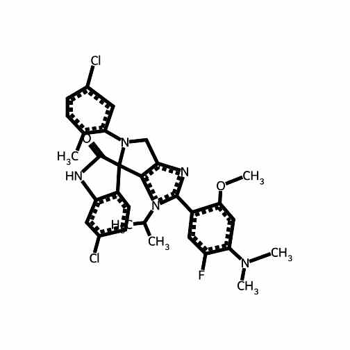 COc1cc(N(C)C)c(F)cc1-c1nc2c(n1C(C)C)C1(C(=O)Nc3cc(Cl)ccc31)N(c1cc(Cl)ccc1C)C2